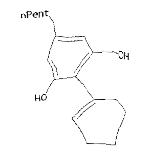 CCCCCc1cc(O)c(C2=CCCCC2)c(O)c1